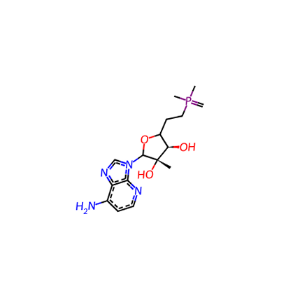 C=P(C)(C)CCC1OC(n2cnc3c(N)ccnc32)[C@@](C)(O)[C@@H]1O